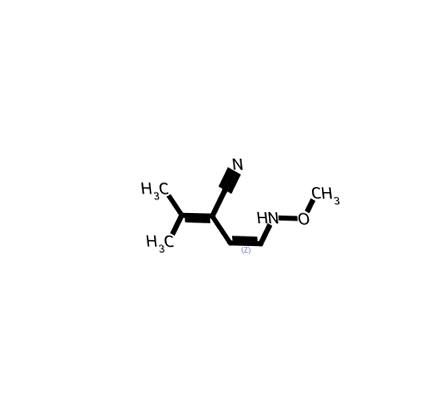 CON/C=C\C(C#N)=C(C)C